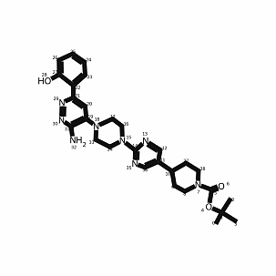 CC(C)(C)OC(=O)N1CCC(c2cnc(N3CCN(c4cc(-c5ccccc5O)nnc4N)CC3)nc2)CC1